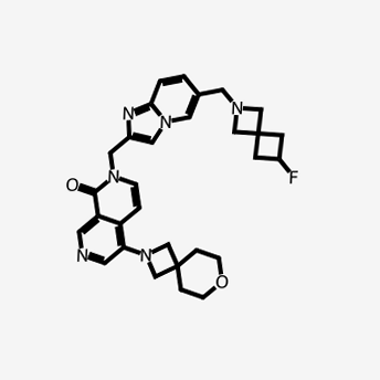 O=c1c2cncc(N3CC4(CCOCC4)C3)c2ccn1Cc1cn2cc(CN3CC4(CC(F)C4)C3)ccc2n1